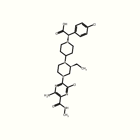 CC[C@H]1CN(c2nc(N)c(C(=O)NC)nc2Cl)CCN1C1CCN([C@@H](C(=O)O)c2ccc(Cl)cc2)CC1